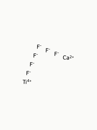 [Ca+2].[F-].[F-].[F-].[F-].[F-].[F-].[Ti+4]